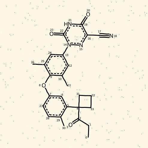 CCC(=O)C1(c2cc(Oc3c(C)cc(-n4nc(C#N)c(=O)[nH]c4=O)cc3C)ccc2C)CCC1